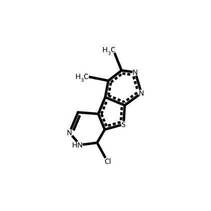 Cc1nnc2sc3c(c2c1C)C=NNC3Cl